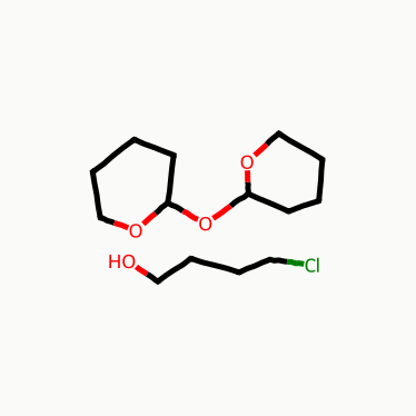 C1CCC(OC2CCCCO2)OC1.OCCCCCl